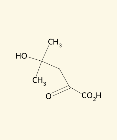 CC(C)(O)CC(=O)C(=O)O